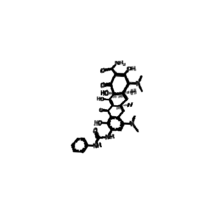 CN(C)c1cc(NC(=O)Nc2ccccc2)c(O)c2c1C[C@@H]1C[C@@H]3C(N(C)C)C(O)=C(C(N)=O)C(=O)[C@]3(O)C(O)=C1C2=O